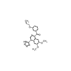 C=CCOc1cccc(C(=O)c2ncc(-c3nnn[nH]3)c3cc(OC)c(OC)cc23)c1